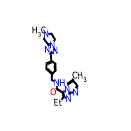 CCc1nc2ncc(C)cn2c1C(=O)NCc1ccc(-c2nc3n(n2)CCN(C)C3)cc1